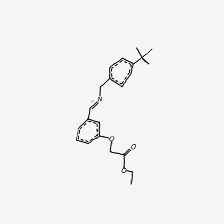 CCOC(=O)COc1cccc(/C=N/Cc2ccc(C(C)(C)C)cc2)c1